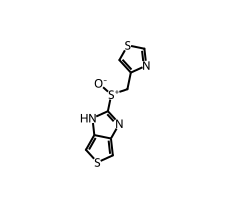 [O-][S+](Cc1cscn1)c1nc2cscc2[nH]1